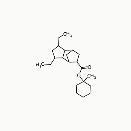 CCC1CC(CC)C2C3CC(CC3C(=O)OC3(C)CCCCC3)C12